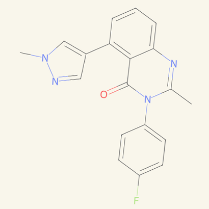 Cc1nc2cccc(-c3cnn(C)c3)c2c(=O)n1-c1ccc(F)cc1